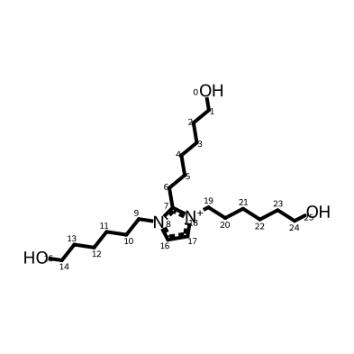 OCCCCCCc1n(CCCCCCO)cc[n+]1CCCCCCO